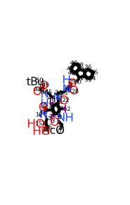 CC(=O)OCC(=O)Nc1c(I)c(C(=O)N(C)CC(O)CO)c(I)c(C(=O)N(CCNC(=O)OCC2c3ccccc3-c3ccccc32)CCNC(=O)OC(C)(C)C)c1I